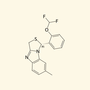 Cc1ccc2nc3n(c2c1)[C@@H](c1ccccc1OC(F)F)SC3